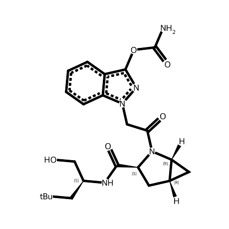 CC(C)(C)C[C@@H](CO)NC(=O)[C@@H]1C[C@H]2C[C@H]2N1C(=O)Cn1nc(OC(N)=O)c2ccccc21